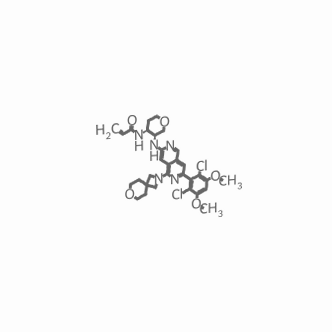 C=CC(=O)N[C@H]1CCOC[C@H]1Nc1cc2c(N3CC4(CCOCC4)C3)nc(-c3c(Cl)c(OC)cc(OC)c3Cl)cc2cn1